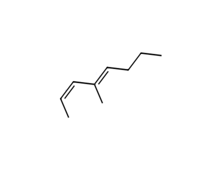 [CH2]/C=C\C(C)=C\CCC